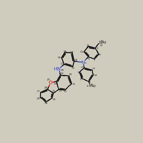 CC(C)(C)c1ccc(N(c2ccc(C(C)(C)C)cc2)c2cccc(Nc3cccc4c3oc3ccccc34)c2)cc1